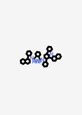 N=C(c1ccccc1C(=N)n1c2ccccc2c2c3c4ccc5ccccc5c4n4c5ccccc5c(cc21)c34)n1c2ccccc2c2c3ccccc3ccc21